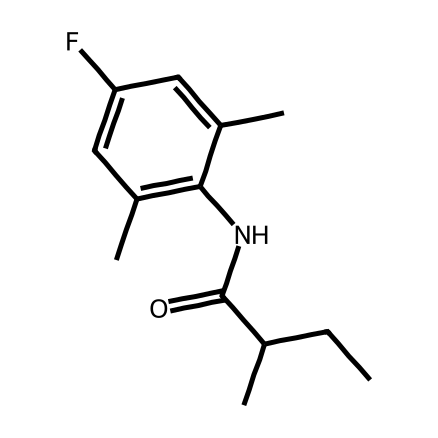 CCC(C)C(=O)Nc1c(C)cc(F)cc1C